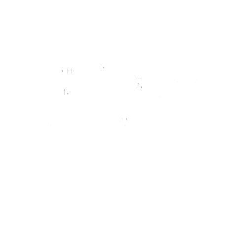 O=CN(CC(=O)C(=O)NCC1CC1)Cc1ccccc1